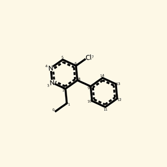 CCc1nncc(Cl)c1-c1ccccc1